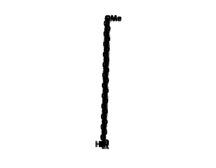 CCNC(=O)CCOCCOCCOCCOCCOCCOCCOCCOCCOCCOCCOCCOCCOCCOCCOCCOCCOCCOCCOCCOCCOCCOCCOCCOC